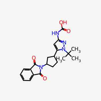 CC(C)(C)n1nc(NC(=O)O)cc1C1CCC(N2C(=O)c3ccccc3C2=O)C1